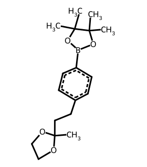 CC1(CCc2ccc(B3OC(C)(C)C(C)(C)O3)cc2)OCCO1